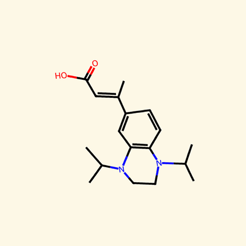 CC(=CC(=O)O)c1ccc2c(c1)N(C(C)C)CCN2C(C)C